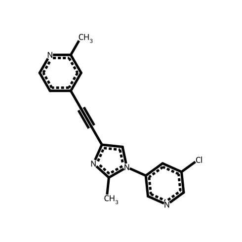 Cc1cc(C#Cc2cn(-c3cncc(Cl)c3)c(C)n2)ccn1